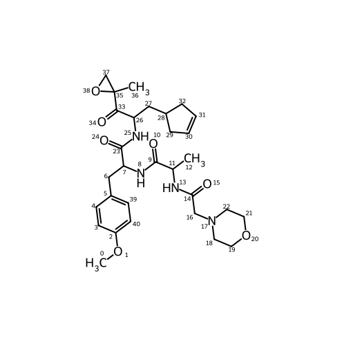 COc1ccc(CC(NC(=O)C(C)NC(=O)CN2CCOCC2)C(=O)NC(CC2CC=CC2)C(=O)C2(C)CO2)cc1